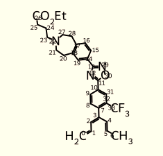 C=CC=C(C=CC)c1ccc(-c2nc(-c3ccc4c(c3)CCN(CCCC(=O)OCC)CC4)no2)cc1C(F)(F)F